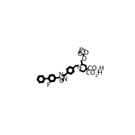 CC(C)OC(=O)OCC1CC(C(=O)O)(C(=O)O)CCN1Cc1ccc(-c2noc(-c3ccc(-c4ccccc4)c(F)c3)n2)cc1